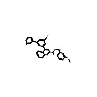 COc1cccc([C@@H](C)NC(C)c2cc(-c3cc(F)cc(-c4cccc(F)c4)c3)c3ccccc3c2)c1